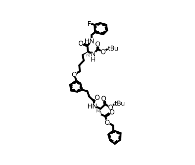 CC(C)(C)OC(=O)N[C@@H](CCCCOc1cccc(CCC(=O)N[C@@H](CC(=O)OCc2ccccc2)C(=O)OC(C)(C)C)c1)C(=O)NCc1ccccc1F